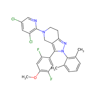 COc1cc(F)c(-c2c3c(nn2-c2c(C)cccc2C)CCN(c2ncc(Cl)cc2Cl)C3)cc1F